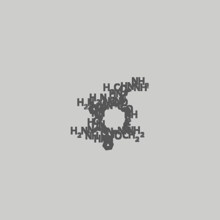 C=C(N)[C@@H]1CCCNC(=O)CC[C@H](NC(=O)[C@H](CCCNC(=N)N)NC(C)=O)C(=O)N[C@@H](CCN)C(=O)N[C@H](Cc2ccc(N)cc2)C(=O)N[C@@H](CCCNC(=N)N)C(=O)N[C@@H](Cc2c[nH]c3ccccc23)C(=O)N1